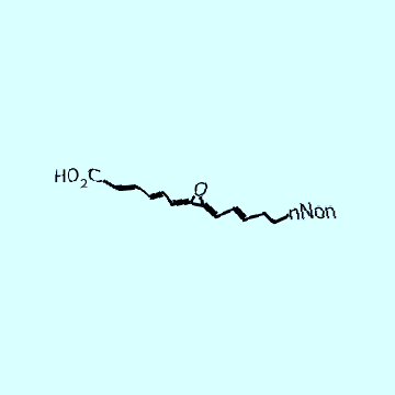 CCCCCCCCCCC/C=C/C=C1\O\C1=C/C=C/C=C/C(=O)O